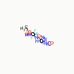 CCCS(=O)(=O)Nc1cc(F)c(F)c(NC(=O)c2cccc3c(NN4CCOCC4)ncnc23)c1F